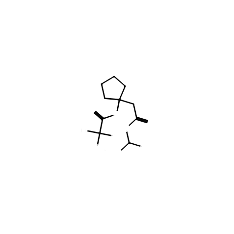 CCC(C)(C)C(=O)OC1(CC(=O)OC(C)C(F)(F)F)CCCC1